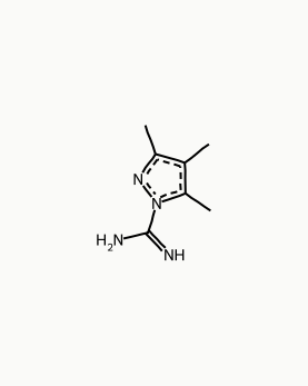 Cc1nn(C(=N)N)c(C)c1C